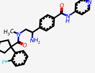 CN(CC(N)c1ccc(C(=O)Nc2ccncc2)cc1)C(=O)C1(c2ccccc2F)CCCC1